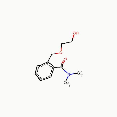 CN(C)C(=O)c1ccccc1COCCO